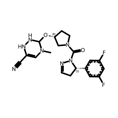 CN1C=C(C#N)NNC1O[C@@H]1CCN(C(=O)N2N=CC[C@H]2c2cc(F)cc(F)c2)C1